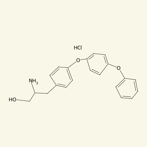 Cl.NC(CO)Cc1ccc(Oc2ccc(Oc3ccccc3)cc2)cc1